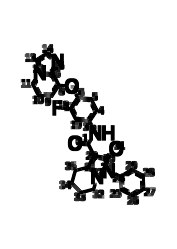 O=C(Nc1ccc(Oc2cccn3ccnc23)c(F)c1)c1c2n(n(-c3ccccc3)c1=O)CCCC2